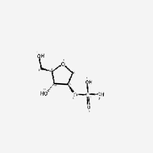 O=P(O)(O)O[C@@H]1[CH]O[C@H](CO)[C@H]1O